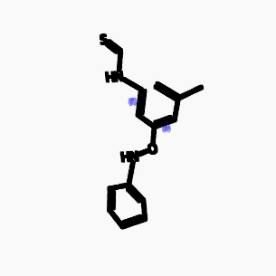 C=C(C)/C=C(\C=C\NC=S)ONc1ccccc1